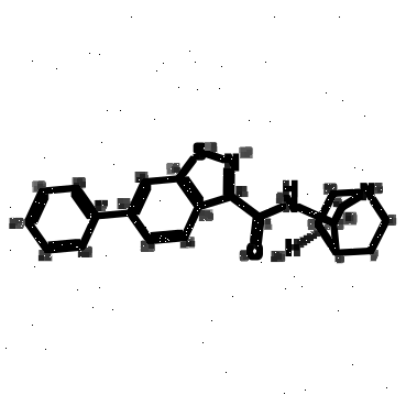 O=C(N[C@H]1CN2CCC1CC2)c1nsc2cc(-c3ccccc3)ccc12